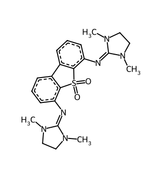 CN1CCN(C)C1=Nc1cccc2c1S(=O)(=O)c1c(N=C3N(C)CCN3C)cccc1-2